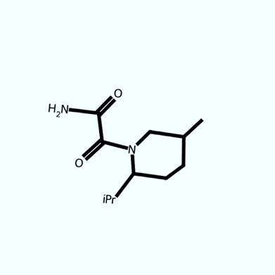 CC1CCC(C(C)C)N(C(=O)C(N)=O)C1